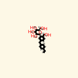 C=Cc1ccc(Cc2ccc(CO)c([C@@H]3O[C@H](CO)[C@@H](O)[C@H](O)[C@H]3O)c2)cc1